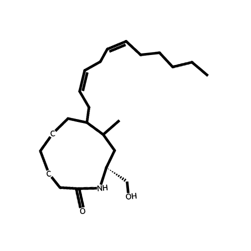 CCCCC/C=C\C/C=C\CC1CCCCCC(=O)N[C@@H](CO)CC1C